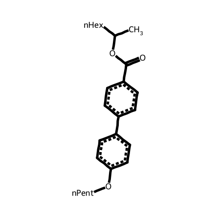 CCCCCCC(C)OC(=O)c1ccc(-c2ccc(OCCCCC)cc2)cc1